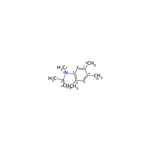 C=C(C)N(C)c1cc(C)c(C)cc1C